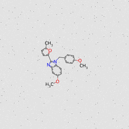 COc1ccc(Cn2c(-c3ccc(C)o3)nc3cc(OC)ccc32)cc1